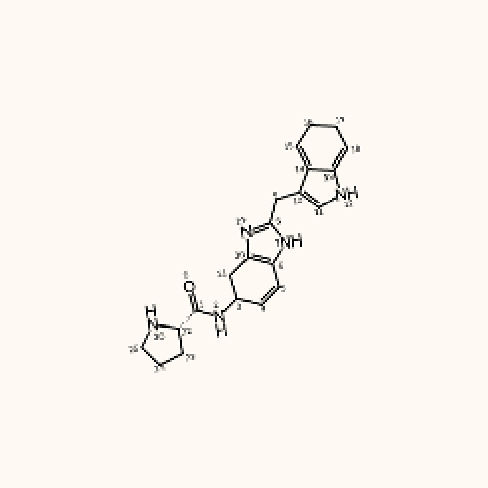 O=C(NC1C=Cc2[nH]c(Cc3c[nH]c4c3=CCCC=4)nc2C1)[C@@H]1CCCN1